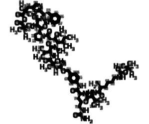 CC[C@H](C)[C@@H]([C@@H](CC(=O)N1CCC[C@H]1[C@H](OC)[C@@H](C)C(=O)N[C@@H](Cc1ccccc1)c1ncc(CC(C)(C)C(=O)OC(=O)C(C)(C)C)s1)OC)N(C)C(=O)[C@@H](NC(=O)C(C)(C)NC(=O)OCc1ccc(NC(=O)[C@H](CCCNC(N)=O)NC(=O)[C@@H](NC(=O)[C@@H](N)CCCCNC(=O)OC(C)(C)C)C(C)C)cc1)C(C)C